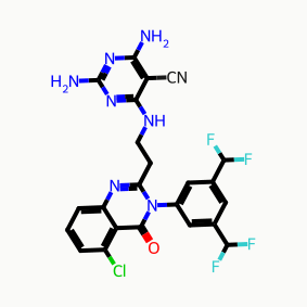 N#Cc1c(N)nc(N)nc1NCCc1nc2cccc(Cl)c2c(=O)n1-c1cc(C(F)F)cc(C(F)F)c1